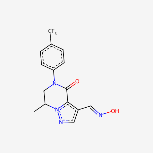 CC1CN(c2ccc(C(F)(F)F)cc2)C(=O)c2c(C=NO)cnn21